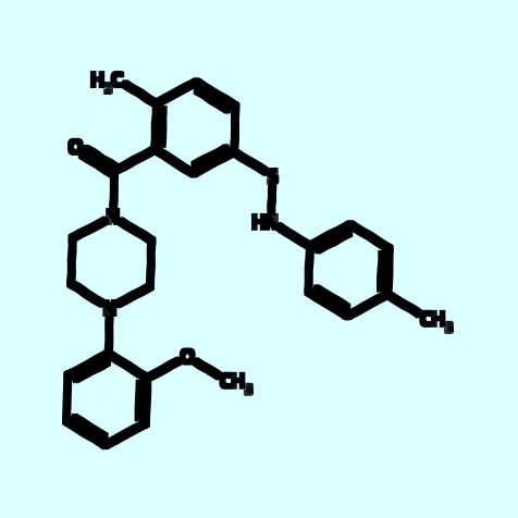 COc1ccccc1N1CCN(C(=O)c2cc(SNc3ccc(C)cc3)ccc2C)CC1